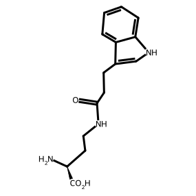 N[C@@H](CCNC(=O)CCc1c[nH]c2ccccc12)C(=O)O